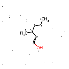 CCCC(C)C=CO